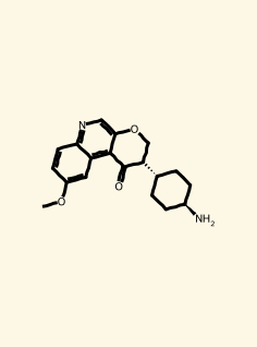 COc1ccc2ncc3c(c2c1)C(=O)C([C@H]1CC[C@H](N)CC1)CO3